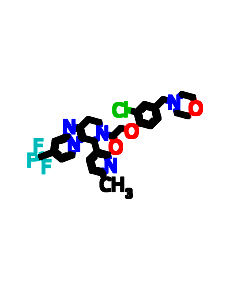 Cc1ccc(C2c3c(nc4cc(C(F)(F)F)ccn34)CCN2C(=O)COc2ccc(CN3CCOCC3)cc2Cl)cn1